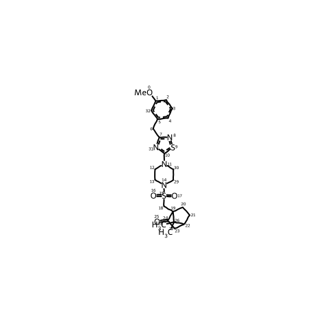 COc1cccc(Cc2nsc(N3CCN(S(=O)(=O)CC45CCC(CC4=O)C5(C)C)CC3)n2)c1